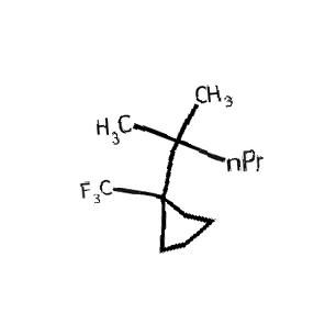 CCCC(C)(C)C1(C(F)(F)F)CC1